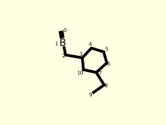 C=BCC1CCCC(CC)C1